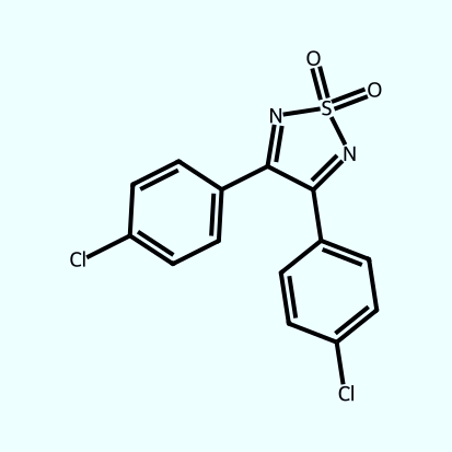 O=S1(=O)N=C(c2ccc(Cl)cc2)C(c2ccc(Cl)cc2)=N1